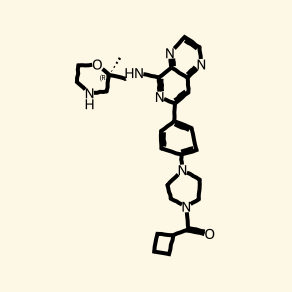 C[C@]1(CNc2nc(-c3ccc(N4CCN(C(=O)C5CCC5)CC4)cc3)cc3nccnc23)CNCCO1